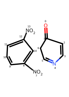 O=C1C=CN=CC1.O=[N+]([O-])c1cccc([N+](=O)[O-])c1